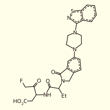 CCC(C(=O)NC(CC(=O)O)C(=O)CF)N1Cc2ccc(N3CCN(c4nsc5ccccc45)CC3)cc2C1=O